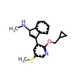 CNC1C=C(c2cc(SC)cnc2OCC2CC2)c2ccccc21